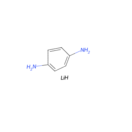 Nc1ccc(N)cc1.[LiH]